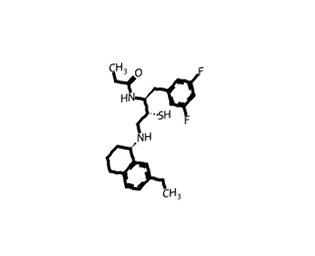 CCC(=O)N[C@@H](Cc1cc(F)cc(F)c1)[C@H](S)CN[C@H]1CCCc2ccc(CC)cc21